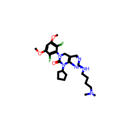 COc1cc(OC)c(F)c(N2CC3=C(NC(NCCCCN(C)C)N=C3)N(C3CCCC3)C2=O)c1F